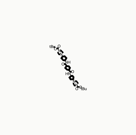 CC(C)(C)OC(=O)N1CCN(c2ccc(NC(=O)c3ccc(C(=O)Nc4ccc(N5CCN(C(=O)OC(C)(C)C)CC5)cc4)cc3)cc2)CC1